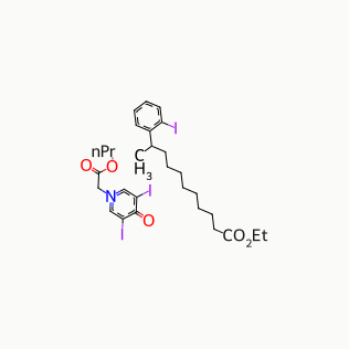 CCCOC(=O)Cn1cc(I)c(=O)c(I)c1.CCOC(=O)CCCCCCCCC(C)c1ccccc1I